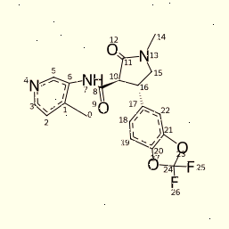 Cc1ccncc1NC(=O)[C@H]1C(=O)N(C)C[C@@H]1c1ccc2c(c1)OC(F)(F)O2